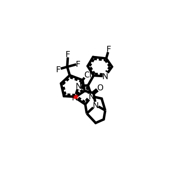 O=C(c1cccc(C(F)(F)F)c1Cl)N1C2CCC1c1nnc(-c3ccc(F)cn3)n1C2